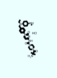 CCN(Cc1ccc(-n2ccc(NC(=O)N3CCN(C(=O)C(C)(C)N)CC3)nc2=O)cc1)[C@H]1CC[C@H](NC)CC1.Cl